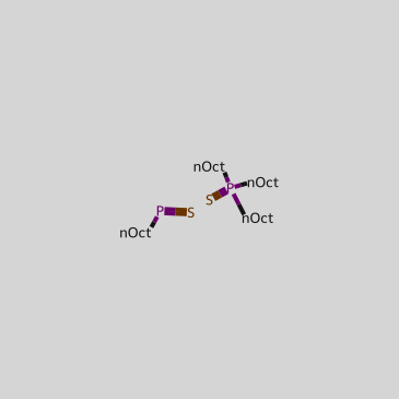 CCCCCCCCP(=S)(CCCCCCCC)CCCCCCCC.CCCCCCCCP=S